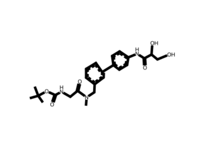 CN(Cc1cccc(-c2ccc(NC(=O)C(O)CO)cc2)c1)C(=O)CNC(=O)OC(C)(C)C